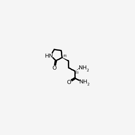 NC(=O)[C@@H](N)CC[C@@H]1CCNC1=O